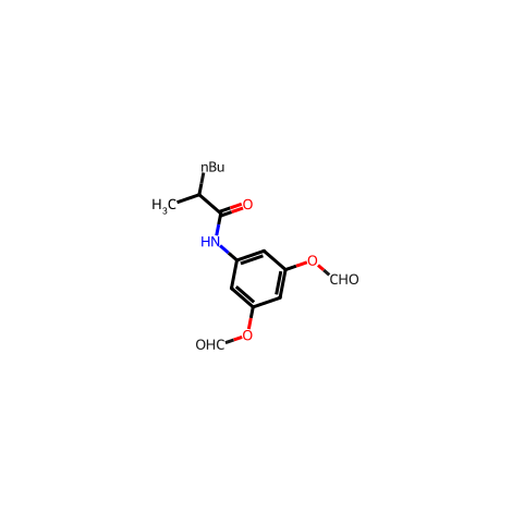 CCCCC(C)C(=O)Nc1cc(OC=O)cc(OC=O)c1